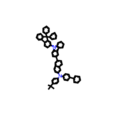 CC(C)(C)c1ccc(N(c2ccc(-c3ccccc3)cc2)c2ccc3cc(-c4ccc5c(c4)c4ccccc4n5-c4ccc5c(c4)C(c4ccccc4)(c4ccccc4)c4ccccc4-5)ccc3c2)cc1